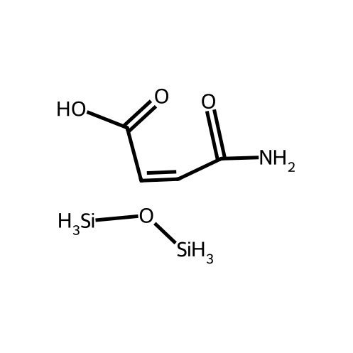 NC(=O)/C=C\C(=O)O.[SiH3]O[SiH3]